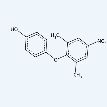 Cc1cc([N+](=O)[O-])cc(C)c1Oc1ccc(O)cc1